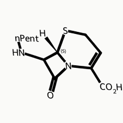 CCCCCNC1C(=O)N2C(C(=O)O)=CCS[C@@H]12